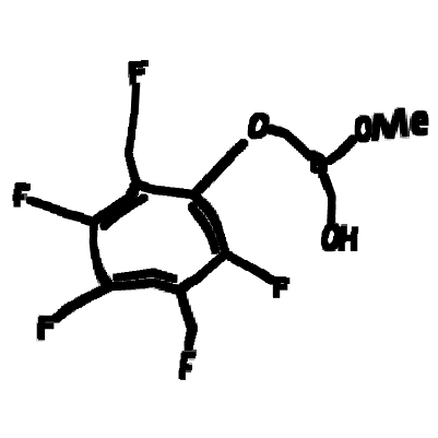 COB(O)Oc1c(F)c(F)c(F)c(F)c1F